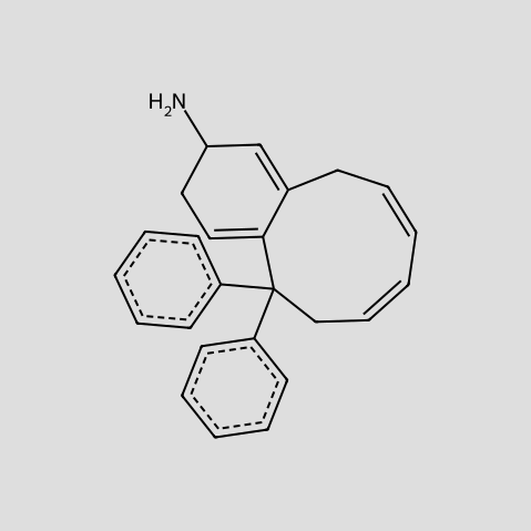 NC1C=C2C/C=C\C=C/CC(c3ccccc3)(c3ccccc3)C2=CC1